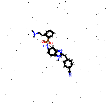 CN(C)CCc1ccccc1S(=O)(=O)Nc1ccc2c(c1)nc(Cc1ccc(C#N)cc1)n2C